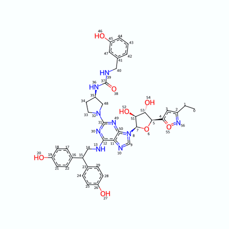 CCc1cc([C@H]2O[C@@H](n3cnc4c(NCC(c5ccc(O)cc5)c5ccc(O)cc5)nc(N5CC[C@@H](NC(=O)NCc6cccc(O)c6)C5)nc43)[C@@H](O)[C@@H]2O)on1